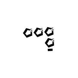 C=C.c1ccsc1.c1ccsc1.c1ccsc1.c1ccsc1